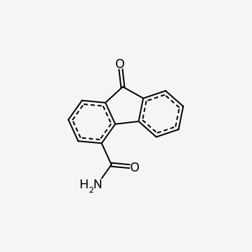 NC(=O)c1cccc2c1-c1ccccc1C2=O